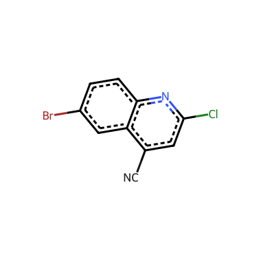 N#Cc1cc(Cl)nc2ccc(Br)cc12